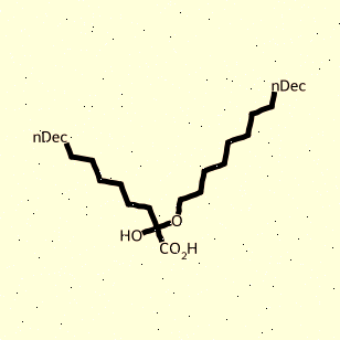 CCCCCCCCCCCCCCCCCCOC(O)(CCCCCCCCCCCCCCCC)C(=O)O